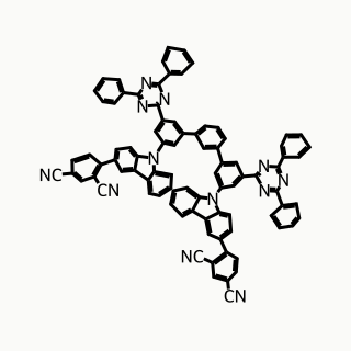 N#Cc1ccc(-c2ccc3c(c2)c2ccccc2n3-c2cc(-c3cccc(-c4cc(-c5nc(-c6ccccc6)nc(-c6ccccc6)n5)cc(-n5c6ccccc6c6cc(-c7ccc(C#N)cc7C#N)ccc65)c4)c3)cc(-c3nc(-c4ccccc4)nc(-c4ccccc4)n3)c2)c(C#N)c1